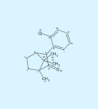 CC12CCC(C(c3ccccc3Cl)C1=O)C2(C)C